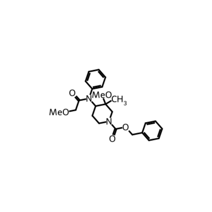 COCC(=O)N(c1ccccc1)C1CCN(C(=O)OCc2ccccc2)CC1(C)OC